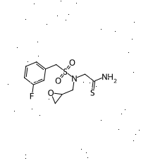 NC(=S)CN(CC1CO1)S(=O)(=O)Cc1cccc(F)c1